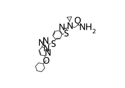 NC(=O)CN(c1nc2ccc(Sc3nnc4ccc(OC5CCCCC5)nn34)cc2s1)C1CC1